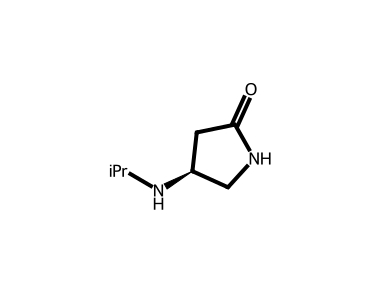 CC(C)N[C@@H]1CNC(=O)C1